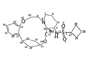 O=S(=O)(NC1CCCN2CCOc3ccccc3C3CCC(CC3)OC[C@@H]12)C1CCC1